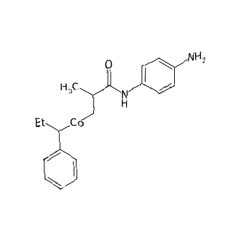 CC[CH]([Co][CH2]C(C)C(=O)Nc1ccc(N)cc1)c1ccccc1